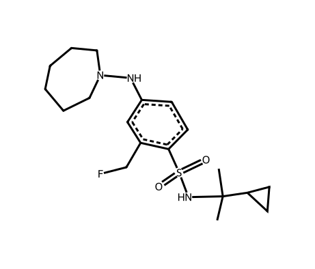 CC(C)(NS(=O)(=O)c1ccc(NN2CCCCCC2)cc1CF)C1CC1